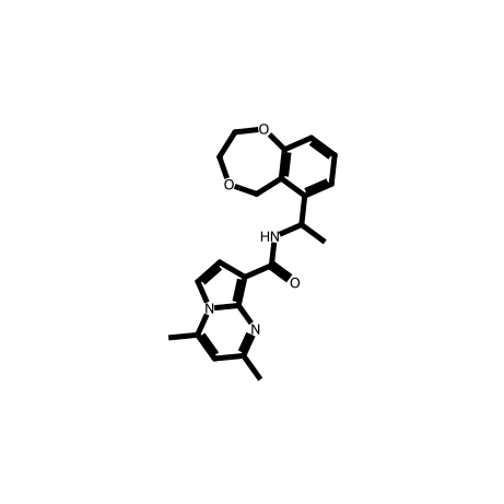 Cc1cc(C)n2ccc(C(=O)NC(C)c3cccc4c3COCCO4)c2n1